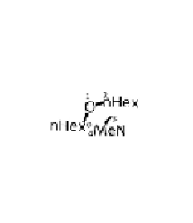 CCCCCCOCCCCCC.CNC